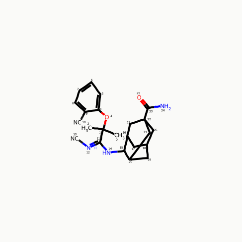 CC(C)(Oc1ccccc1C#N)/C(=N\C#N)NC1C2CC3CC1CC(C(N)=O)(C3)C2